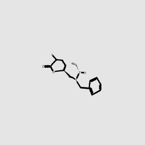 CC(C)(C)[S@+]([O-])N(Cc1ccccc1)C[C@@H]1CCC(I)C(=O)O1